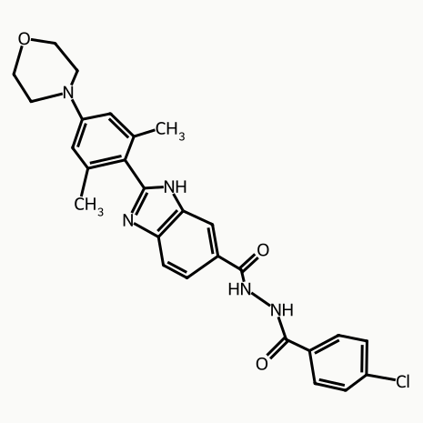 Cc1cc(N2CCOCC2)cc(C)c1-c1nc2ccc(C(=O)NNC(=O)c3ccc(Cl)cc3)cc2[nH]1